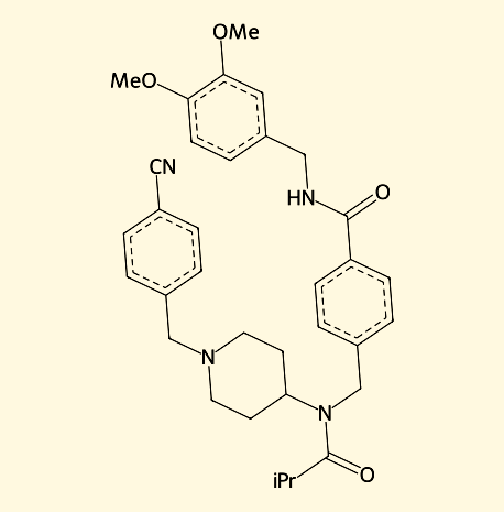 COc1ccc(CNC(=O)c2ccc(CN(C(=O)C(C)C)C3CCN(Cc4ccc(C#N)cc4)CC3)cc2)cc1OC